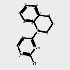 Clc1nccc(N2CCCc3ccccc32)n1